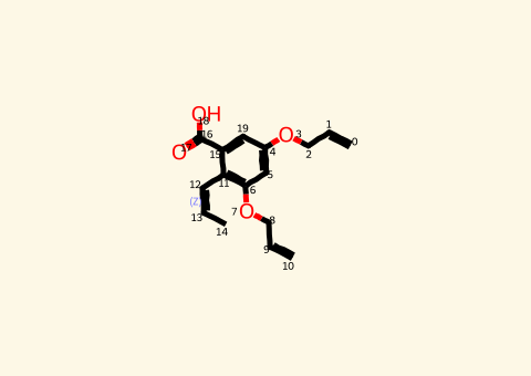 C=CCOc1cc(OCC=C)c(/C=C\C)c(C(=O)O)c1